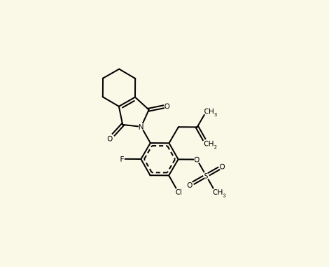 C=C(C)Cc1c(OS(C)(=O)=O)c(Cl)cc(F)c1N1C(=O)C2=C(CCCC2)C1=O